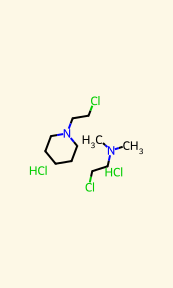 CN(C)CCCl.Cl.Cl.ClCCN1CCCCC1